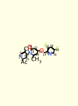 CC(=O)C1=NC=C(C)[C@H](n2c(C)cc(OCc3ncc(F)cc3F)cc2=O)C1